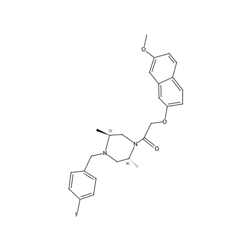 COc1ccc2ccc(OCC(=O)N3C[C@H](C)N(Cc4ccc(F)cc4)C[C@H]3C)cc2c1